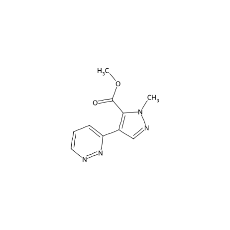 COC(=O)c1c(-c2cccnn2)cnn1C